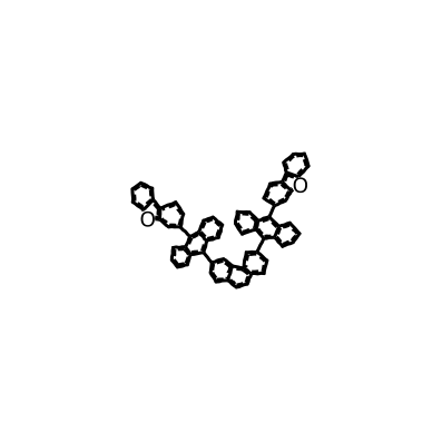 c1ccc2c(c1)oc1cc(-c3c4ccccc4c(-c4ccc5ccc6ccc(-c7c8ccccc8c(-c8ccc9c(c8)oc8ccccc89)c8ccccc78)cc6c5c4)c4ccccc34)ccc12